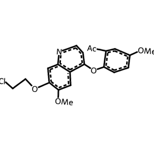 COc1ccc(Oc2ccnc3cc(OCCCl)c(OC)cc23)c(C(C)=O)c1